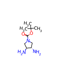 CC(C)(C)OC(=O)N1C[C@H](N)[C@@H](N)C1